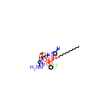 CCCCCCCCCCCCCCOC[C@H](COP(=O)(OO[C@@]1(C#N)O[C@@H](c2ccc3c(N)ncnn23)[C@@H]2OC(C)(C)O[C@@H]21)Oc1ccccc1Cl)Oc1ccc(C#N)cn1